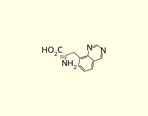 N[C@@H](Cc1cccc2cncnc12)C(=O)O